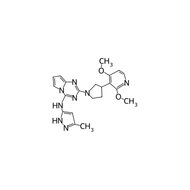 COc1ccnc(OC)c1C1CCN(c2nc(Nc3cc(C)n[nH]3)n3cccc3n2)C1